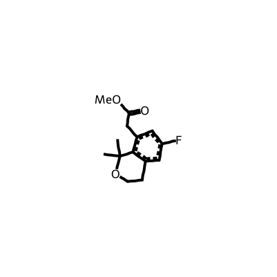 COC(=O)Cc1cc(F)cc2c1C(C)(C)OCC2